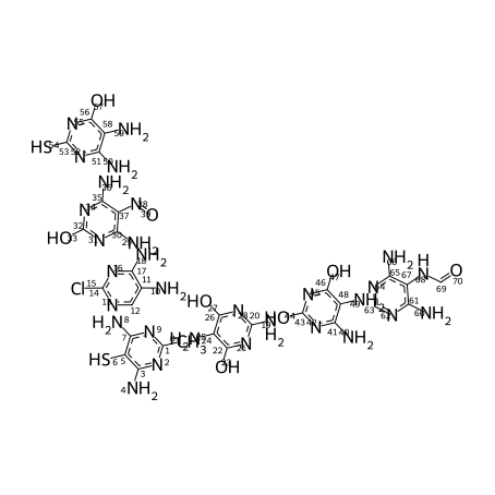 Cc1nc(N)c(S)c(N)n1.Nc1cnc(Cl)nc1N.Nc1nc(O)c(N)c(O)n1.Nc1nc(O)nc(N)c1N=O.Nc1nc(O)nc(O)c1N.Nc1nc(S)nc(O)c1N.Nc1ncnc(N)c1NC=O